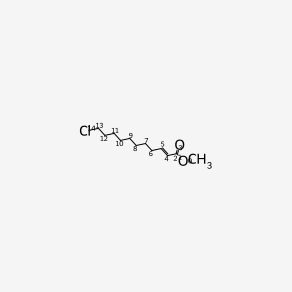 COC(=O)/C=C/CCCCCCCCCl